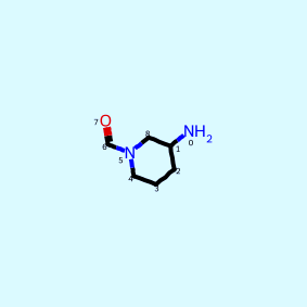 NC1CCCN(C=O)C1